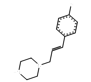 Brc1ccc(/C=C/CN2CCNCC2)cc1